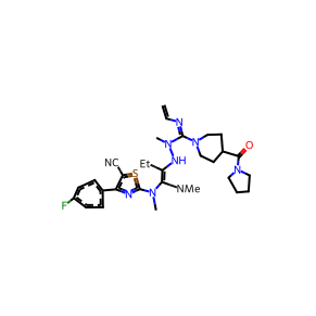 C=C/N=C(/N1CCC(C(=O)N2CCCC2)CC1)N(C)N/C(CC)=C(\NC)N(C)c1nc(-c2ccc(F)cc2)c(C#N)s1